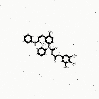 Cc1ccc(N(C(=O)CC(=O)Sc2cc(C(C)(C)C)c(O)c(C(C)(C)C)c2)c2ccccc2)cc1/C=C\[C@@H](C)Nc1ccccc1